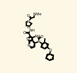 CNCC(=O)N1CC[C@@H](NC(=O)c2sc3nccc4c3c2NC(=O)N4c2ccc(Oc3ccccc3)cc2C)C1